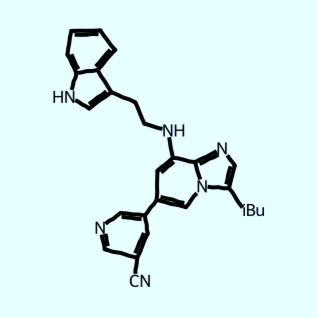 CCC(C)c1cnc2c(NCCc3c[nH]c4ccccc34)cc(-c3cncc(C#N)c3)cn12